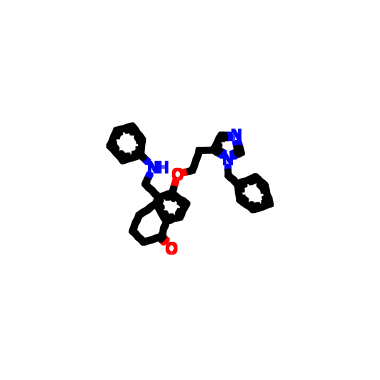 O=C1CCCc2c1ccc(OCCc1cncn1Cc1ccccc1)c2CNc1ccccc1